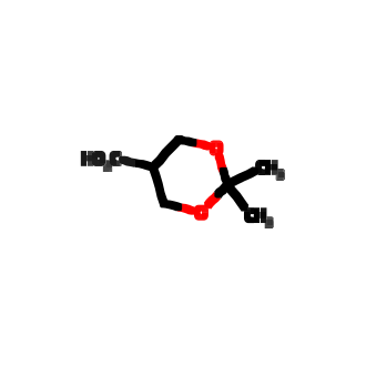 CC1(C)OCC(C(=O)O)CO1